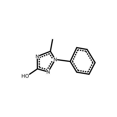 Cc1nc(O)nn1-c1ccccc1